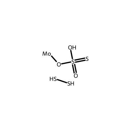 O=S(O)(=S)[O][Mo].SS